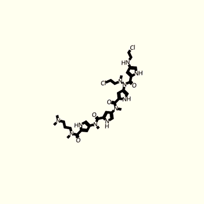 CN(C)CCCN(C)C(=O)c1cc(N(C)C(=O)c2cc(N(C)C(=O)c3cc(N(C(=O)c4cc(NCCCl)c[nH]4)N(C)CCCl)c[nH]3)c[nH]2)c[nH]1